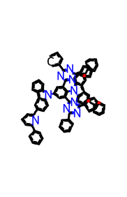 c1ccc(-c2ccc3c(c2)c2cc(-c4ccccc4)ccc2n3-c2c(-c3nc(-c4ccccc4)nc(-c4ccccc4)n3)cc(-n3c4ccccc4c4cc(-c5cccc(-c6ccccc6)n5)ccc43)cc2-c2nc(-c3ccccc3)nc(-c3ccccc3)n2)cc1